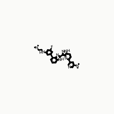 CN(C)CCNc1cc(F)cc(-c2cccc3[nH]c(-c4n[nH]c5ccc(-c6cncc(N(C)C)c6)nc45)nc23)c1